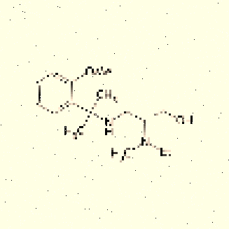 CCN(C)[C@@H](CO)CNC(C)(C)c1ccccc1OC